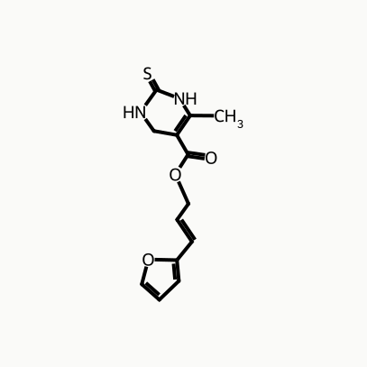 CC1=C(C(=O)OCC=Cc2ccco2)CNC(=S)N1